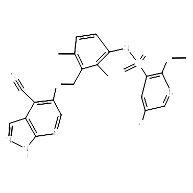 COc1ncc(Cl)cc1S(=O)(=O)Nc1ccc(F)c(COc2cnc3[nH]ncc3c2C#N)c1F